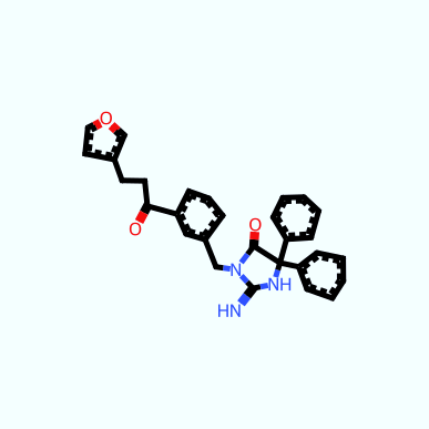 N=C1NC(c2ccccc2)(c2ccccc2)C(=O)N1Cc1cccc(C(=O)CCc2ccoc2)c1